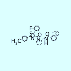 Cc1ccc(-c2nc(C(=O)N3CCCC[C@H]3CNC(=O)c3cccc4c3CCO4)c(-c3ccccc3F)s2)cc1